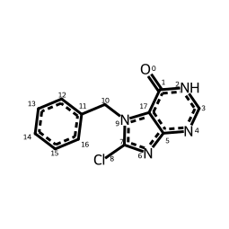 O=c1[nH]cnc2nc(Cl)n(Cc3ccccc3)c12